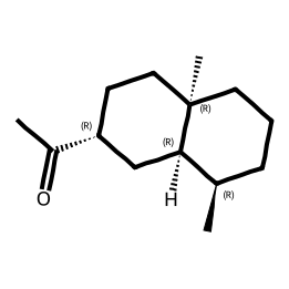 CC(=O)[C@@H]1CC[C@@]2(C)CCC[C@@H](C)[C@H]2C1